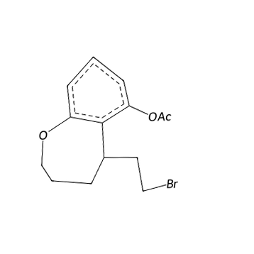 CC(=O)Oc1cccc2c1C(CCBr)CCCO2